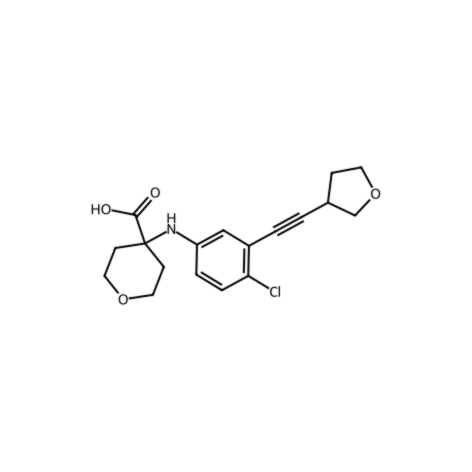 O=C(O)C1(Nc2ccc(Cl)c(C#CC3CCOC3)c2)CCOCC1